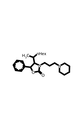 CCCCCCC(C)C1C(c2ccccc2)OC(=O)N1CCCN1CCCCC1